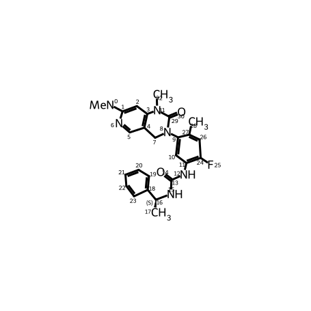 CNc1cc2c(cn1)CN(c1cc(NC(=O)N[C@@H](C)c3ccccc3)c(F)cc1C)C(=O)N2C